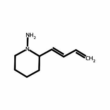 C=C/C=C/C1CCCCN1N